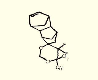 OC1(C(F)(F)F)OCOC2(CC3CC2C2C4C=CC(C4)C32)C1(F)F